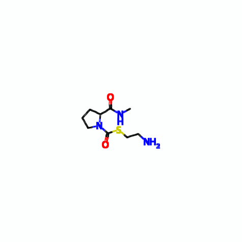 CNC(=O)C1CCCN1C(=O)SCCN